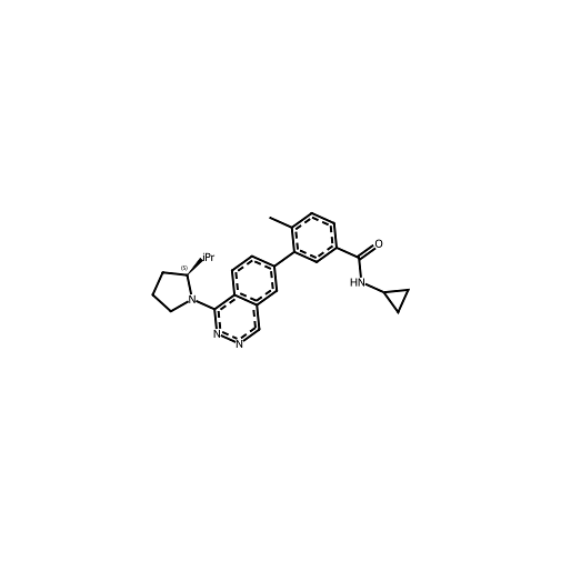 Cc1ccc(C(=O)NC2CC2)cc1-c1ccc2c(N3CCC[C@H]3C(C)C)nncc2c1